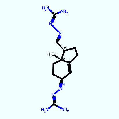 C[C@]12CC/C(=N\N=C(N)N)C=C1CC[C@@H]2C=NN=C(N)N